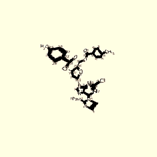 CCCCCc1nccn1-c1nc(Cl)nc2c1ncn2[C@@H]1C[C@H](OC(=O)c2ccc(C)cc2)[C@@H](COC(=O)c2ccc(C)cc2)O1